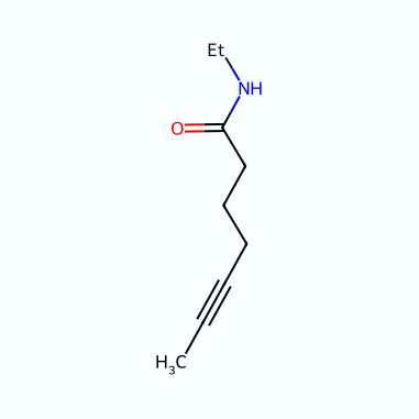 CC#CCCCC(=O)NCC